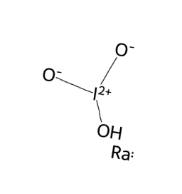 [O-][I+2]([O-])O.[Ra]